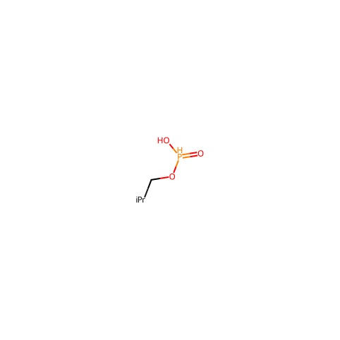 CC(C)CO[PH](=O)O